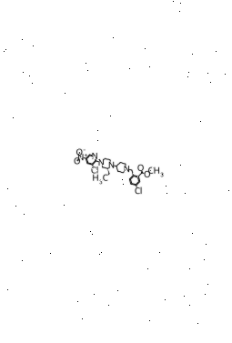 CC[C@H]1CN(c2ncc([N+](=O)[O-])cc2Cl)CCN1C1CCN(Cc2ccc(Cl)cc2C(=O)OC)CC1